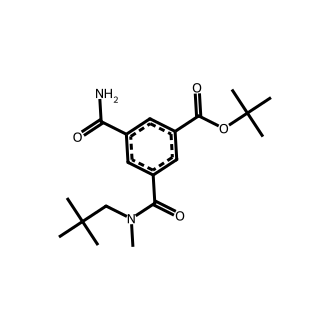 CN(CC(C)(C)C)C(=O)c1cc(C(N)=O)cc(C(=O)OC(C)(C)C)c1